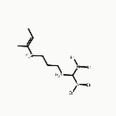 CC=C(C)[SiH2]CCC[SiH2]C(N(CC)CC)N(CC)CC